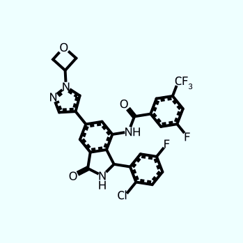 O=C(Nc1cc(-c2cnn(C3COC3)c2)cc2c1C(c1cc(F)ccc1Cl)NC2=O)c1cc(F)cc(C(F)(F)F)c1